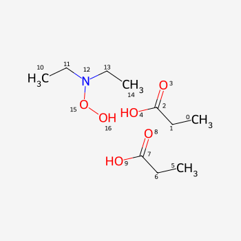 CCC(=O)O.CCC(=O)O.CCN(CC)OO